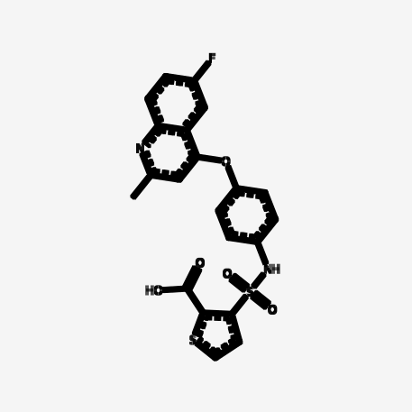 Cc1cc(Oc2ccc(NS(=O)(=O)c3ccsc3C(=O)O)cc2)c2cc(F)ccc2n1